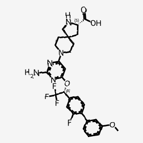 COc1cccc(-c2ccc([C@@H](Oc3cc(N4CCC5(CC4)CN[C@H](C(=O)O)C5)nc(N)n3)C(F)(F)F)cc2F)c1